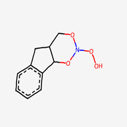 OON1OCC2Cc3ccccc3C2O1